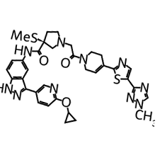 CS[C@@]1(C(=O)Nc2ccc3[nH]nc(-c4ccc(OC5CC5)nc4)c3c2)CCN(CC(=O)N2CC=C(c3ncc(-c4ncn(C)n4)s3)CC2)C1